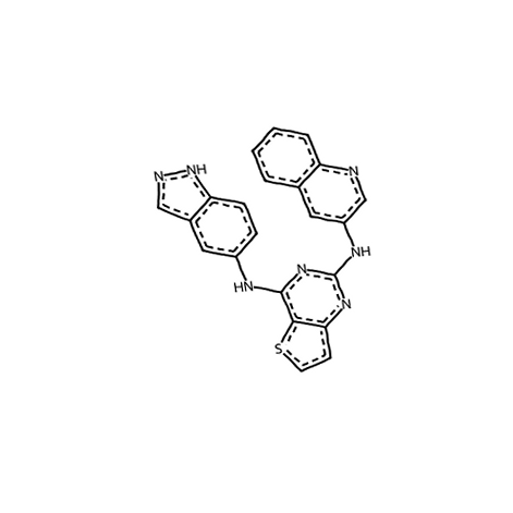 c1ccc2ncc(Nc3nc(Nc4ccc5[nH]ncc5c4)c4sccc4n3)cc2c1